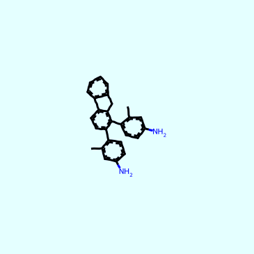 Cc1cc(N)ccc1-c1ccc2c(c1-c1ccc(N)cc1C)Cc1ccccc1-2